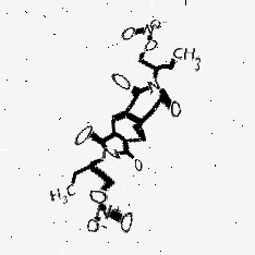 CCC(CO[N+](=O)[O-])n1c(=O)c2cc3c(=O)n(C(CC)CO[N+](=O)[O-])c(=O)c3cc2c1=O